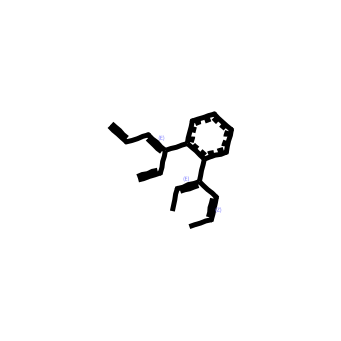 C=C/C=C(\C=C)c1ccccc1C(/C=C\C)=C/C